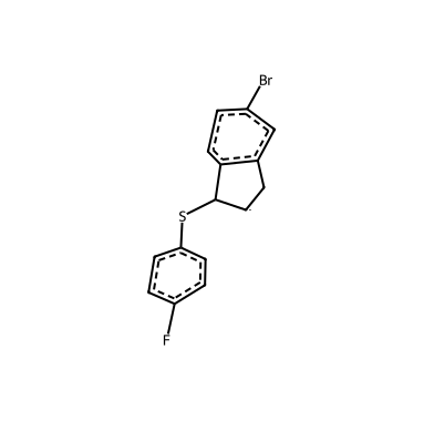 Fc1ccc(SC2[CH]Cc3cc(Br)ccc32)cc1